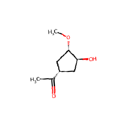 CO[C@H]1C[C@@H](C(C)=O)C[C@@H]1O